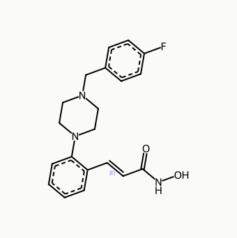 O=C(/C=C/c1ccccc1N1CCN(Cc2ccc(F)cc2)CC1)NO